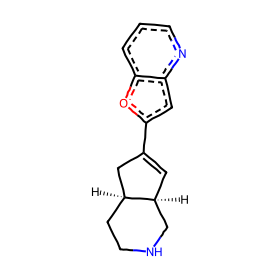 C1=C(c2cc3ncccc3o2)C[C@@H]2CCNC[C@H]12